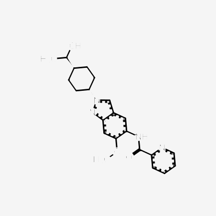 COc1cc2nn([C@H]3CC[C@H](C(C)C)CC3)cc2cc1NC(=O)c1ccccn1